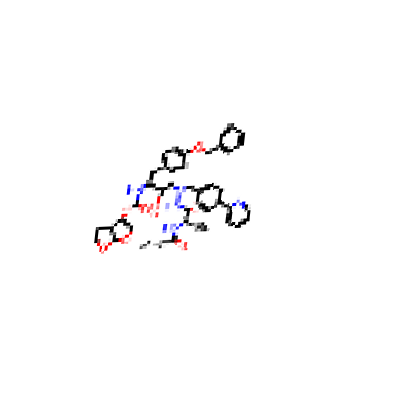 COC(=O)NC(C(=O)NN(Cc1ccc(-c2ccccn2)cc1)CC(O)C(Cc1ccc(OCc2ccccc2)cc1)NC(=O)OC1COC2OCCC12)C(C)(C)C